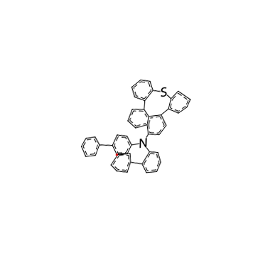 c1ccc(-c2ccc(N(c3ccccc3-c3ccccc3)c3ccc4c5c(cccc35)-c3ccccc3Sc3ccccc3-4)cc2)cc1